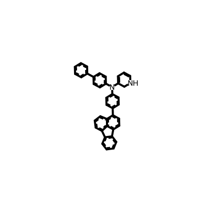 C1=CNCC(N(c2ccc(-c3ccccc3)cc2)c2ccc(-c3ccc4c5c(cccc35)-c3ccccc3-4)cc2)=C1